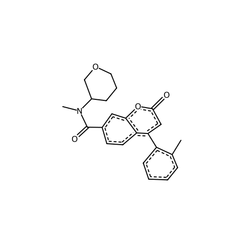 Cc1ccccc1-c1cc(=O)oc2cc(C(=O)N(C)C3CCCOC3)ccc12